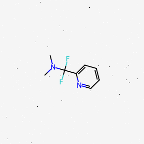 CN(C)C(F)(F)c1ccccn1